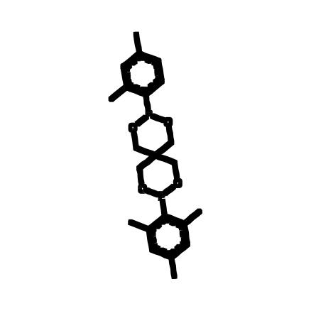 Cc1ccc(P2OCC3(CO2)COP(c2c(C)cc(C)cc2C)OC3)c(C)c1